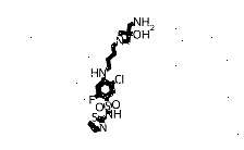 NCC1(O)CN(CCCCNc2cc(F)c(S(=O)(=O)Nc3nccs3)cc2Cl)C1